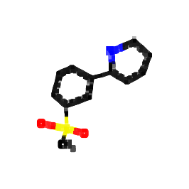 CS(=O)(=O)c1cccc(-c2ccc[c]n2)c1